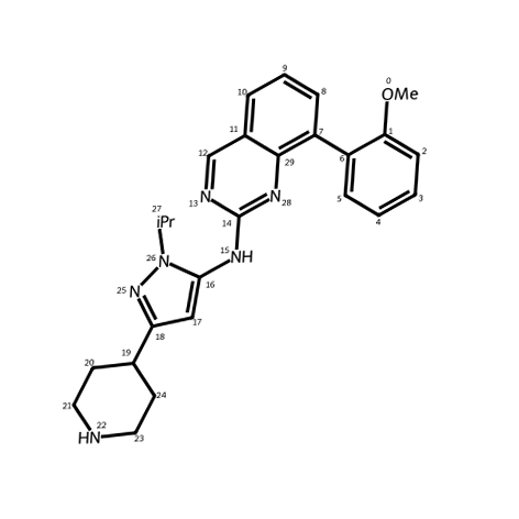 COc1ccccc1-c1cccc2cnc(Nc3cc(C4CCNCC4)nn3C(C)C)nc12